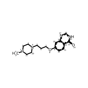 CN1CCN(CCCOc2ccc3c(=O)[nH]cnc3c2)CC1